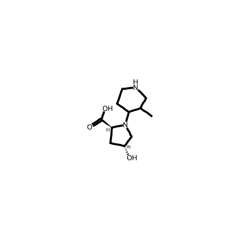 CC1CNCCC1N1C[C@H](O)C[C@H]1C(=O)O